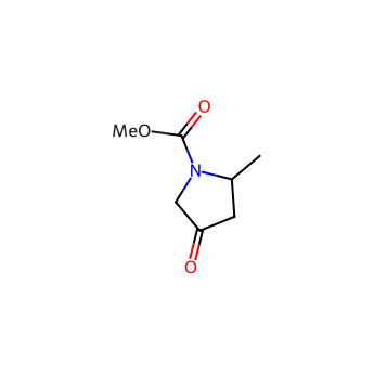 COC(=O)N1CC(=O)CC1C